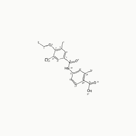 CCOc1c(C)cc(C(=O)Nc2ccc(C(=O)O)c(C)c2)cc1Cl